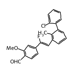 COc1cc(C(F)=Cc2cccc(-c3ccccc3Cl)c2C)ccc1C=O